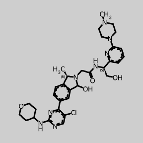 C[C@@H]1c2ccc(-c3nc(NC4CCOCC4)ncc3Cl)cc2C(O)N1CC(=O)N[C@H](CO)c1cccc(N2CCN(C)CC2)n1